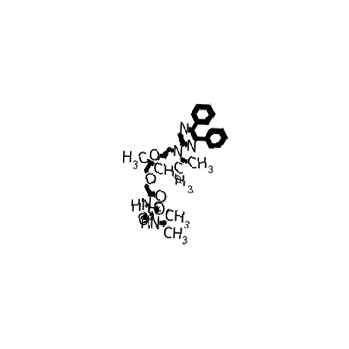 CC(C)NS(=O)(=O)NC(=O)COCC(C)(C)OCCN(c1cnc(-c2ccccc2)c(-c2ccccc2)n1)C(C)C